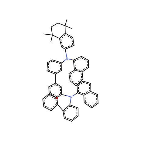 CC1(C)CCC(C)(C)c2cc(N(c3cccc(-c4cccc(N(c5ccccc5-c5ccccc5)c5cccc6ccccc56)c4)c3)c3cccc4ccccc34)ccc21